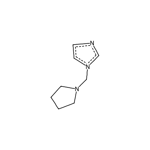 c1cn(CN2CCCC2)cn1